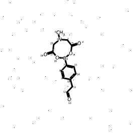 CN1CC(=O)OB(c2ccc(CC=O)cc2)OC(=O)C1